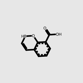 O=C(O)c1cccc2c1OBC=C2